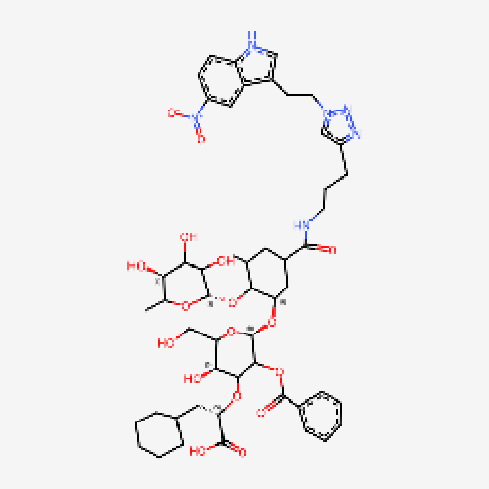 CC1CC(C(=O)NCCCc2cn(CCc3c[nH]c4ccc([N+](=O)[O-])cc34)nn2)C[C@@H](O[C@@H]2OC(CO)[C@H](O)C(O[C@@H](CC3CCCCC3)C(=O)O)C2OC(=O)c2ccccc2)C1O[C@@H]1OC(C)[C@@H](O)C(O)C1O